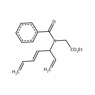 C=C/C=C/C(C=C)N(CC(=O)OCC)C(=O)c1ccccc1